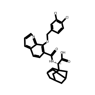 O=C(N[C@H](C(=O)O)C12CC3CC(CC(C3)C1)C2)c1ccc2cccnc2c1OCc1ccc(Cl)c(Cl)c1